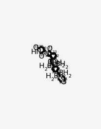 Bc1cc(C(B)(B)N2CCOCC2)ccc1C(B)(B)Oc1cccc2c1CN(C1CCC(=O)NC1=O)C2=O